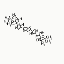 CC[C@@H](C(=N)C(=O)OC(C)(C)C)c1ncc(-c2cc3sc(-c4cnc([C@@](C=N)(CC)C(=O)OC(C)(C)C)[nH]4)cc3s2)[nH]1